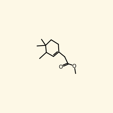 COC(=O)CC1=CC(C)C(C)(C)CC1